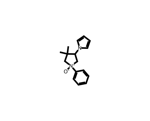 CC1(C)C[N+]([O-])(c2ccccc2)CC1n1cccc1